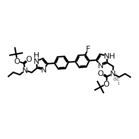 CCCN(Cc1nc(-c2ccc(-c3ccc(-c4c[nH]c(CN(C(=O)OC(C)(C)C)[C@@H](C)CC)n4)c(F)c3)cc2)c[nH]1)C(=O)OC(C)(C)C